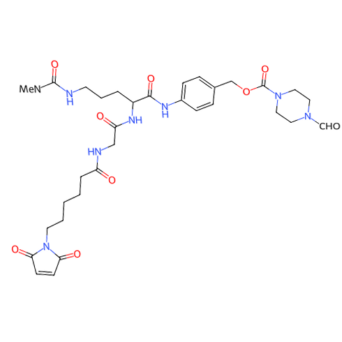 CNC(=O)NCCCC(NC(=O)CNC(=O)CCCCCN1C(=O)C=CC1=O)C(=O)Nc1ccc(COC(=O)N2CCN(C=O)CC2)cc1